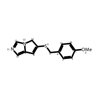 COc1ccc(CSC2=Cc3cncn3C2)cc1